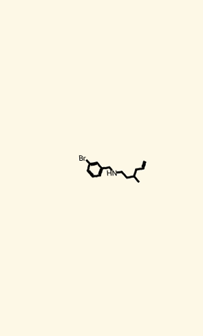 C=CCC(C)CCNCc1cccc(Br)c1